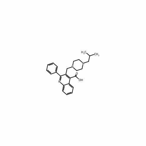 CC(C)CN1CCN(Cc2c(-c3ccccc3)nc3ccccc3c2C(=O)O)CC1